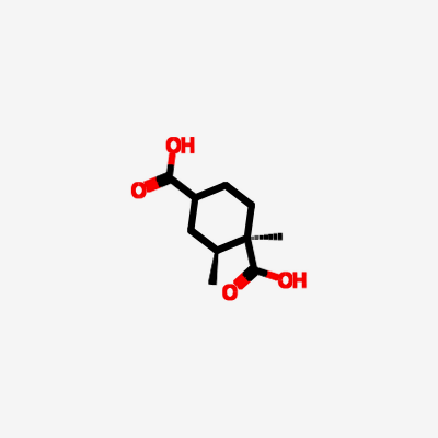 C[C@H]1CC(C(=O)O)CC[C@@]1(C)C(=O)O